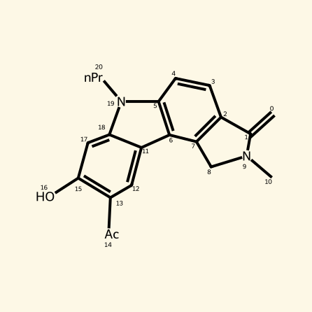 C=C1c2ccc3c(c2CN1C)c1cc(C(C)=O)c(O)cc1n3CCC